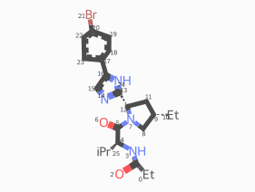 CCC(=O)N[C@H](C(=O)N1C[C@@H](CC)C[C@H]1c1ncc(-c2ccc(Br)cc2)[nH]1)C(C)C